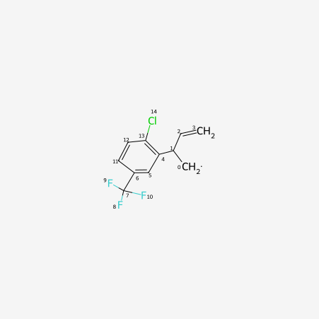 [CH2]C(C=C)c1cc(C(F)(F)F)ccc1Cl